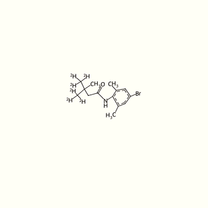 [2H]C([2H])([2H])C(C)(CC(=O)Nc1c(C)cc(Br)cc1C)C([2H])([2H])[2H]